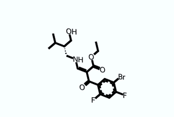 CCOC(=O)/C(=C\NC[C@@H](CO)C(C)C)C(=O)c1cc(Br)c(F)cc1F